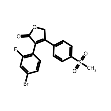 CS(=O)(=O)c1ccc(C2=C(c3ccc(Br)cc3F)C(=O)OC2)cc1